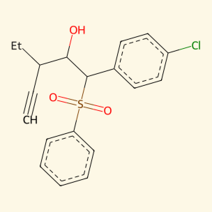 C#CC(CC)C(O)C(c1ccc(Cl)cc1)S(=O)(=O)c1ccccc1